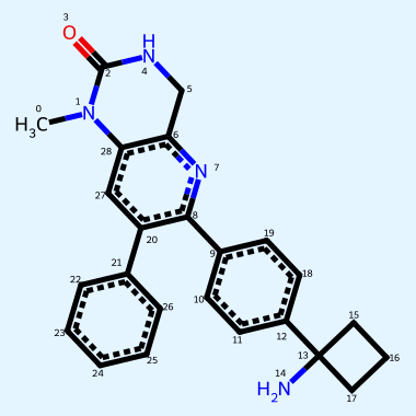 CN1C(=O)NCc2nc(-c3ccc(C4(N)CCC4)cc3)c(-c3ccccc3)cc21